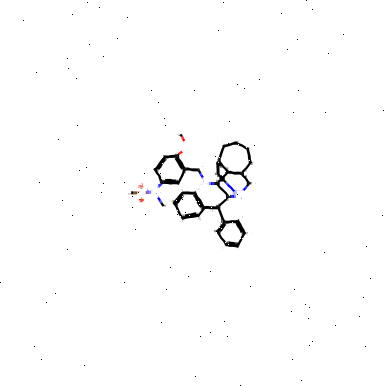 COc1ccc(N(C)S(C)(=O)=O)cc1CNC1C2C3CCCCC2CN(C3)C1C(c1ccccc1)c1ccccc1